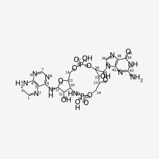 C/C=N\c1c(N)ncnc1NC1OC2COP(=O)(O)OC3C(O)C(COP(=O)(O)NC2C1O)OC3n1cnc2c(=O)[nH]c(N)nc21